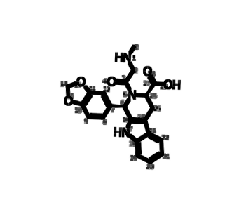 CNCC(=O)N1[C@H](c2ccc3c(c2)OCO3)c2[nH]c3ccccc3c2C[C@@H]1C(=O)O